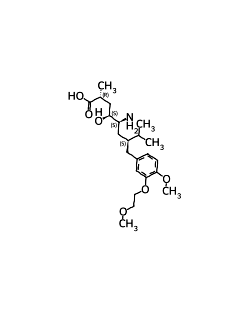 COCCOc1cc(C[C@@H](C[C@H](N)[C@@H](O)C[C@@H](C)C(=O)O)C(C)C)ccc1OC